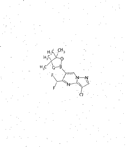 CC1(C)OB(c2cn3ncc(Cl)c3nc2C(F)F)OC1(C)C